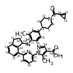 Cc1cc(C2CCN(C(=O)C3=CC3)CC2)ccc1NC1CCc2cccc(-c3cccc(-n4ncc(C(=O)O)c4C)n3)c21